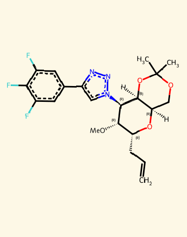 C=CC[C@H]1O[C@@H]2COC(C)(C)O[C@@H]2[C@H](n2cc(-c3cc(F)c(F)c(F)c3)nn2)[C@H]1OC